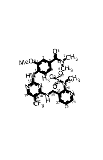 COc1cc(C(=O)N(C)C)ccc1Nc1ncc(C(F)(F)F)c(NCc2cccnc2N(C)S(C)(=O)=O)n1